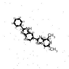 Cc1cn2nc(-c3cnc4nc(-c5ccccc5)[nH]c4c3)nc2c(C)n1